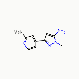 CNc1cc(-c2cc(N)n(C)n2)ccn1